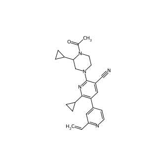 C=Cc1cc(-c2cc(C#N)c(N3CCN(C(C)=O)C(C4CC4)C3)nc2C2CC2)ccn1